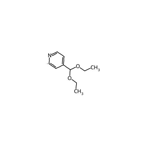 CCOC(OCC)c1c[c]ncc1